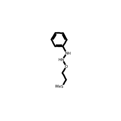 CSCCONNc1ccccc1